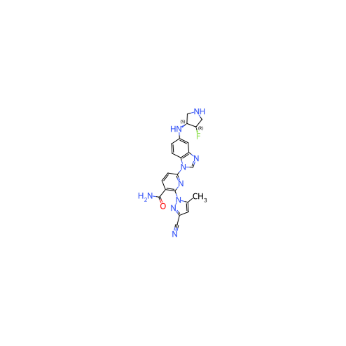 Cc1cc(C#N)nn1-c1nc(-n2cnc3cc(N[C@H]4CNC[C@H]4F)ccc32)ccc1C(N)=O